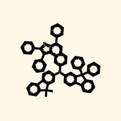 CC1(C)c2ccccc2-c2ccc(N(c3ccc4c(c3)C(c3ccccc3)(c3ccccc3)c3ccccc3-4)c3ccc4cc(-c5ccccc5)n5nc(-c6ccccc6)c(-c6ccccc6)c5c4c3)cc21